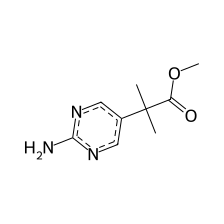 COC(=O)C(C)(C)c1cnc(N)nc1